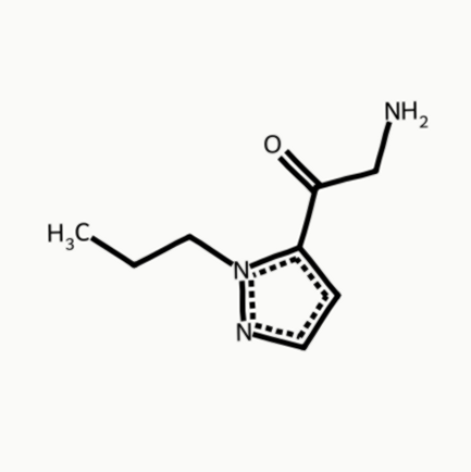 CCCn1nccc1C(=O)CN